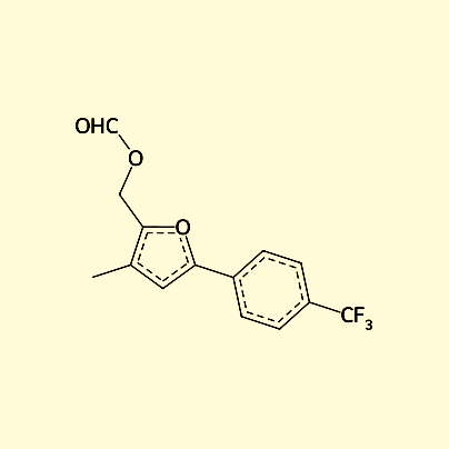 Cc1cc(-c2ccc(C(F)(F)F)cc2)oc1COC=O